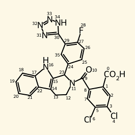 O=C(O)c1cc(Cl)c(Cl)cc1C(=O)N1CCc2c([nH]c3ccccc23)C1c1ccc(F)c(-c2nnn[nH]2)c1